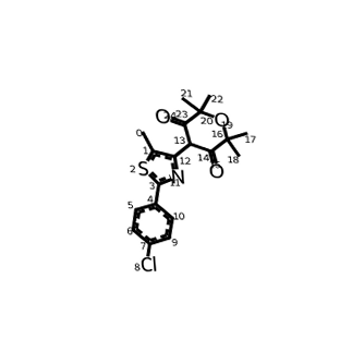 Cc1sc(-c2ccc(Cl)cc2)nc1C1C(=O)C(C)(C)OC(C)(C)C1=O